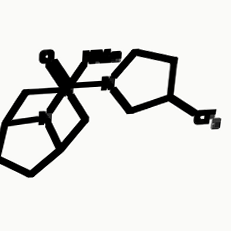 CNN1CC2CCC(C1)N2C(=O)N1CCC(C(F)(F)F)C1